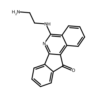 NCCNc1nc2c(c3ccccc13)C(=O)c1ccccc1-2